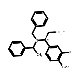 CCOC(=O)C[C@@H](c1ccc(OC)c(F)c1)N(Cc1ccccc1)C(C)c1ccccc1